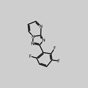 Fc1ccc(F)c(-c2nc3ncccn3n2)c1F